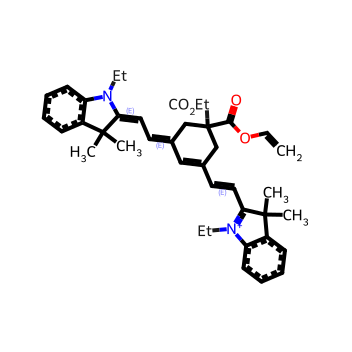 C=COC(=O)C1(C(=O)OCC)CC(/C=C/C2=[N+](CC)c3ccccc3C2(C)C)=CC(=C/C=C2/N(CC)c3ccccc3C2(C)C)/C1